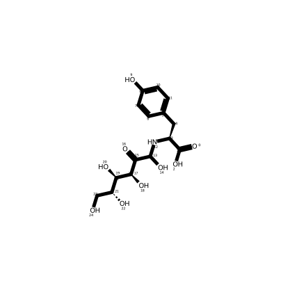 O=C(O)[C@H](Cc1ccc(O)cc1)NC(O)C(=O)[C@@H](O)[C@H](O)[C@H](O)CO